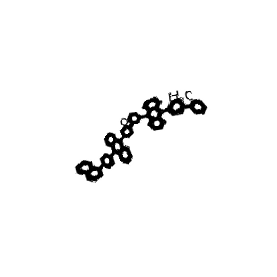 Cc1ccccc1-c1ccc(-c2c3ccccc3c(-c3ccc4oc5cc(-c6c7ccccc7c(-c7ccc(-c8cccc9ccccc89)cc7)c7ccccc67)ccc5c4c3)c3ccccc23)cc1